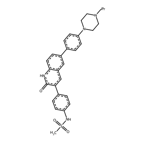 CC(C)N1CCN(c2ccc(-c3ccc4[nH]c(=O)c(-c5ccc(NS(C)(=O)=O)cc5)cc4c3)cc2)CC1